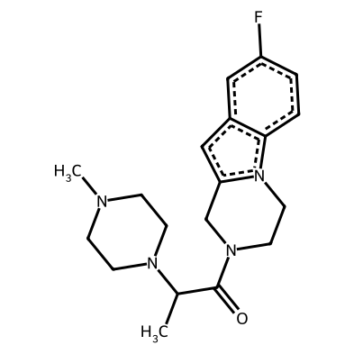 CC(C(=O)N1CCn2c(cc3cc(F)ccc32)C1)N1CCN(C)CC1